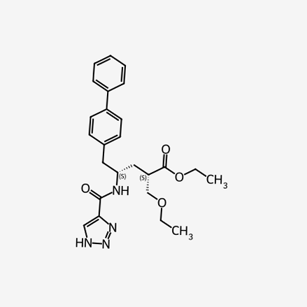 CCOC[C@H](C[C@@H](Cc1ccc(-c2ccccc2)cc1)NC(=O)c1c[nH]nn1)C(=O)OCC